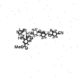 CCn1cncc1CNc1cc(C(=O)OC)cc(F)c1NC(=O)CN1CCC(Oc2cccc(COc3ccc(C#N)cc3F)n2)CC1